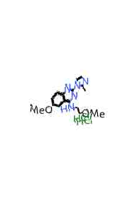 COCCNc1nc(-n2ccnc2C)nc2ccc(OC)cc12.Cl.Cl